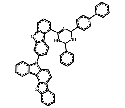 c1ccc(-c2ccc(C3N=C(c4cccc5oc6cc(-n7c8ccccc8c8c9sc%10ccccc%10c9ccc87)ccc6c45)NC(c4ccccc4)N3)cc2)cc1